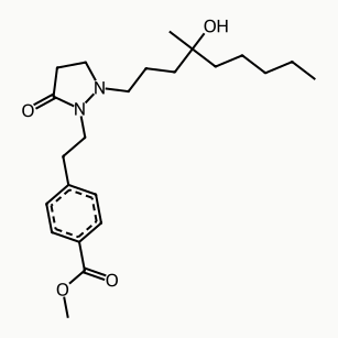 CCCCCC(C)(O)CCCN1CCC(=O)N1CCc1ccc(C(=O)OC)cc1